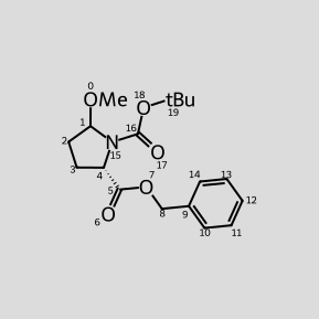 COC1CC[C@@H](C(=O)OCc2ccccc2)N1C(=O)OC(C)(C)C